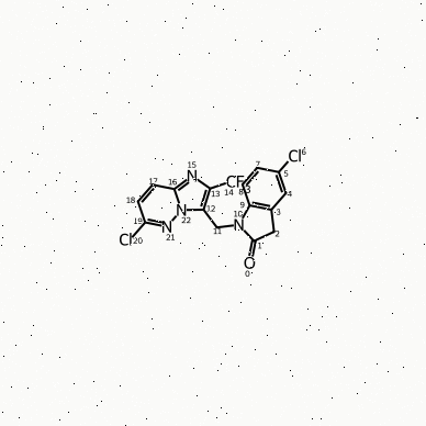 O=C1Cc2cc(Cl)ccc2N1Cc1c(C(F)(F)F)nc2ccc(Cl)nn12